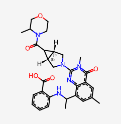 Cc1cc(C(C)Nc2ccccc2C(=O)O)c2nc(N3C[C@@H]4C(C(=O)N5CCOCC5C)[C@@H]4C3)n(C)c(=O)c2c1